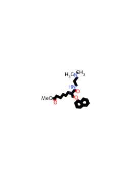 COC(=O)CCCC/C=C(\COc1cccc2ccccc12)C(=O)NCCCN(C)C